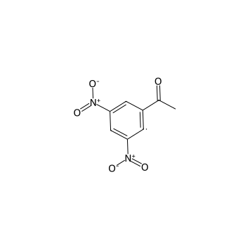 CC(=O)c1[c]c([N+](=O)[O-])cc([N+](=O)[O-])c1